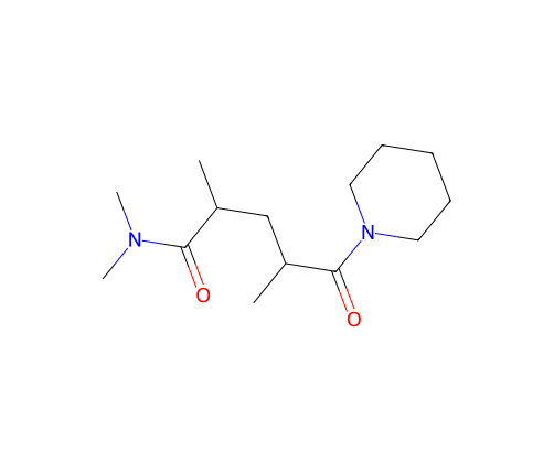 CC(CC(C)C(=O)N1CCCCC1)C(=O)N(C)C